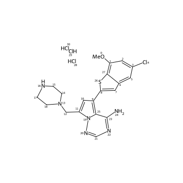 COc1cc(Cl)cc2cc(-c3cc(CN4CCNCC4)n4ncnc(N)c34)sc12.Cl.Cl.Cl